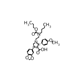 CCCCN(CCN1C[C@H](c2ccc3c(c2)OCO3)[C@H](C(=O)O)[C@H]1c1ccc(OC)cc1)C(=O)OCCC